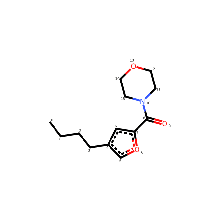 CCCCc1coc(C(=O)N2CCOCC2)c1